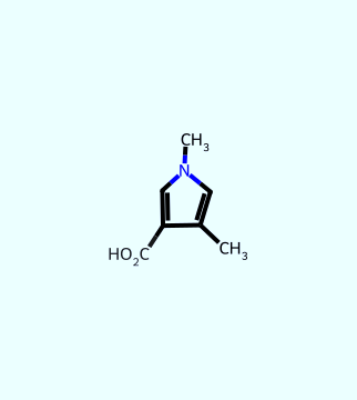 Cc1cn(C)cc1C(=O)O